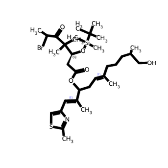 C/C(=C\CC(OC(=O)C[C@H](O[Si](C)(C)C(C)(C)C)C(C)(C)C(=O)C(C)Br)/C(C)=C/c1csc(C)n1)CCCC(C)CO